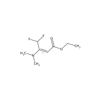 CCOC(=O)/C=C(\C(F)F)N(C)C